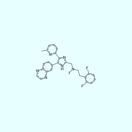 Cc1cccc(-c2nc(CN(I)CCc3c(F)cccc3F)[nH]c2-c2ccc3nccnc3c2)n1